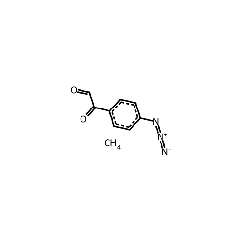 C.[N-]=[N+]=Nc1ccc(C(=O)C=O)cc1